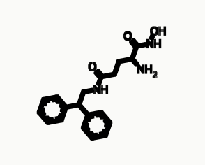 NC(CCC(=O)NCC(c1ccccc1)c1ccccc1)C(=O)NO